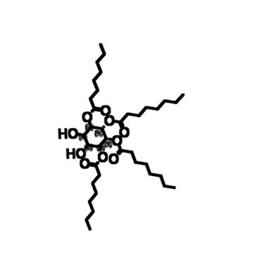 CCCCCCCC(=O)O[C@@H]1[C@@H](OC(=O)CCCCCCC)[C@H](OC(=O)CCCCCCC)[C@@H](O)[C@@H](O)[C@H]1OC(=O)CCCCCCC